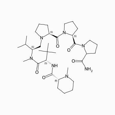 CC(C)[C@@H](CN1CCC[C@H]1C(=O)N1CCC[C@H]1C(=O)N1CCCC1C(N)=O)N(C)C(=O)[C@@H](NC(=O)[C@H]1CCCCN1C)C(C)(C)C